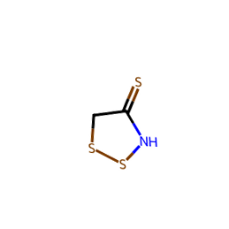 S=C1CSSN1